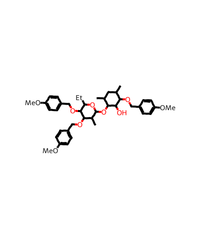 CCC1OC(OC2C(C)CC(C)C(OCc3ccc(OC)cc3)C2O)C(C)C(OCc2ccc(OC)cc2)C1OCc1ccc(OC)cc1